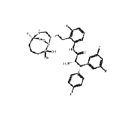 N[C@H](C(=O)Nc1cccc(F)c1CC[C@H]1CN[C@@H]2CCCS(O)(O)N1CC2)[C@@H](c1ccc(F)cc1)c1cc(F)cc(F)c1